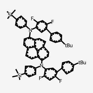 CC(C)(C)c1ccc(-c2cc(N(c3ccc([Si](C)(C)C)cc3)c3ccc4ccc5c(N(c6ccc([Si](C)(C)C)cc6)c6cc(-c7ccc(C(C)(C)C)cc7)c(F)cc6F)ccc6ccc3c4c65)c(F)cc2F)cc1